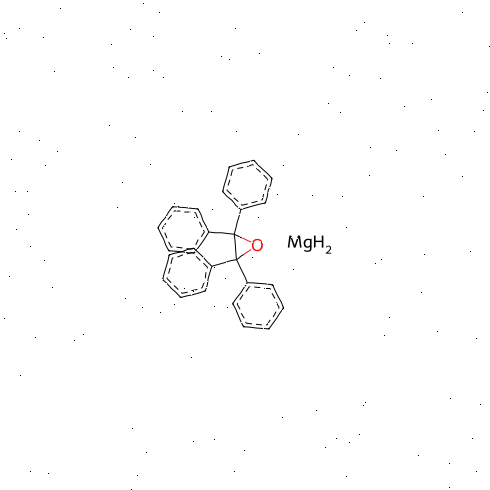 [MgH2].c1ccc(C2(c3ccccc3)OC2(c2ccccc2)c2ccccc2)cc1